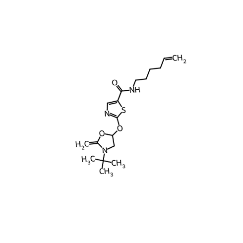 C=CCCCCNC(=O)c1cnc(OC2CN(C(C)(C)C)C(=C)O2)s1